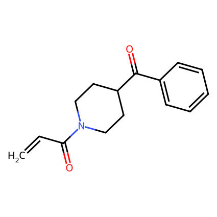 C=CC(=O)N1CCC(C(=O)c2ccccc2)CC1